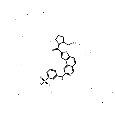 CS(=O)(=O)c1cccc(Nc2ncc3ccc4sc(C(=O)N5CCC[C@H]5CO)cc4c3n2)c1